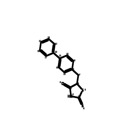 O=C1NC(=S)SC1Cc1ccc(-c2ccccc2)cc1